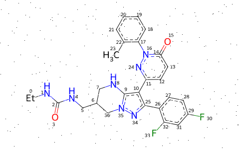 CCNC(=O)NCC1CNc2c(-c3ccc(=O)n(-c4ccccc4C)n3)c(-c3ccc(F)cc3F)nn2C1